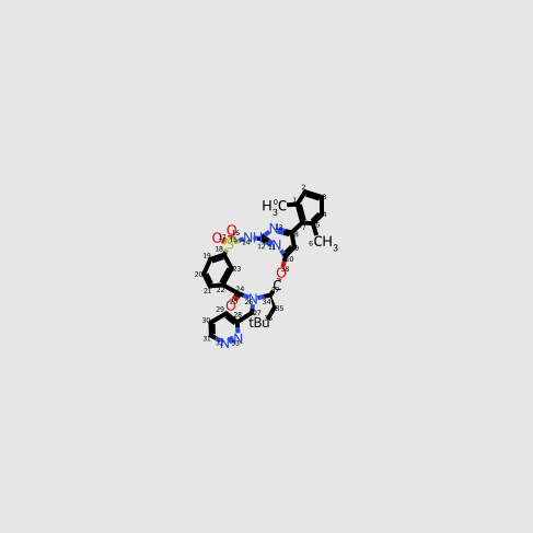 Cc1cccc(C)c1-c1cc2nc(n1)NS(=O)(=O)c1cccc(c1)C(=O)N(Cc1cccnn1)[C@H](CC(C)(C)C)CO2